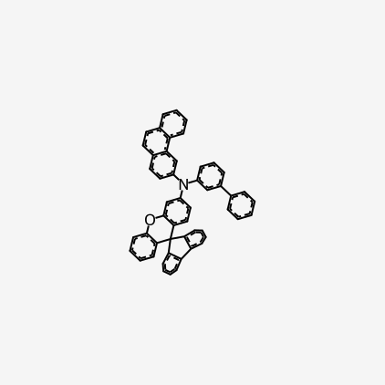 c1ccc(-c2cccc(N(c3ccc4c(c3)Oc3ccccc3C43c4ccccc4-c4ccccc43)c3ccc4ccc5ccccc5c4c3)c2)cc1